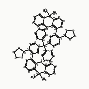 CC1(C)c2ccccc2Oc2c(-c3cc(C(c4ccccc4)(c4ccccc4)c4ccc(C5CCCC5)c(-c5cccc6c5Sc5ccccc5C6(C)C)c4)ccc3C3CCCC3)cccc21